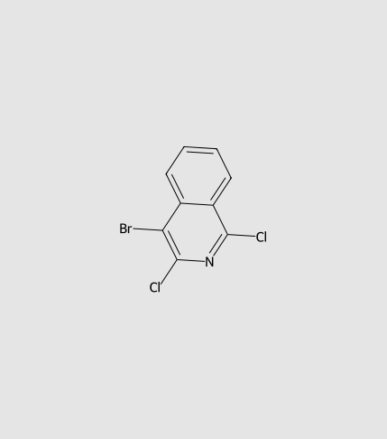 Clc1nc(Cl)c2ccccc2c1Br